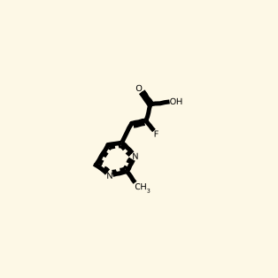 Cc1nccc(/C=C(\F)C(=O)O)n1